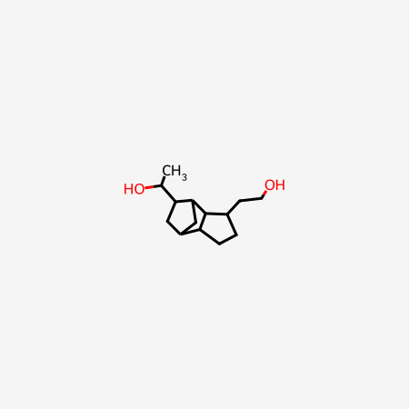 CC(O)C1CC2CC1C1C(CCO)CCC21